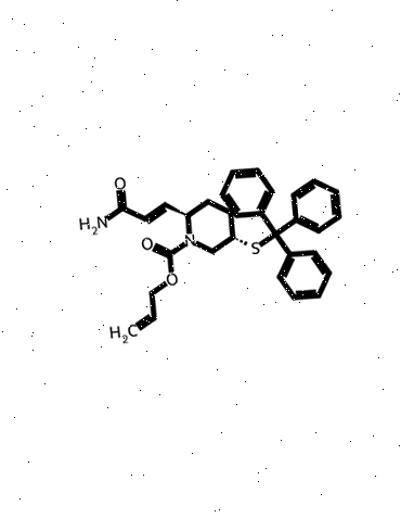 C=CCOC(=O)N1C[C@@H](SC(c2ccccc2)(c2ccccc2)c2ccccc2)CC[C@@H]1/C=C/C(N)=O